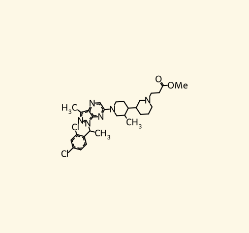 COC(=O)CCN1CCCC(C2CCN(c3cnc4c(C)nn(C(C)c5ccc(Cl)cc5Cl)c4n3)CC2C)C1